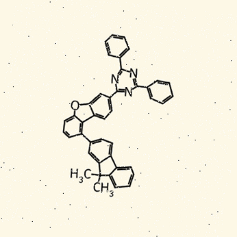 CC1(C)c2ccccc2-c2ccc(-c3cccc4oc5cc(-c6nc(-c7ccccc7)nc(-c7ccccc7)n6)ccc5c34)cc21